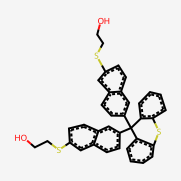 OCCSc1ccc2cc(C3(c4ccc5cc(SCCO)ccc5c4)c4ccccc4Sc4ccccc43)ccc2c1